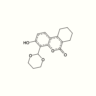 O=c1oc2c(C3OCCCO3)c(O)ccc2c2c1CCCC2